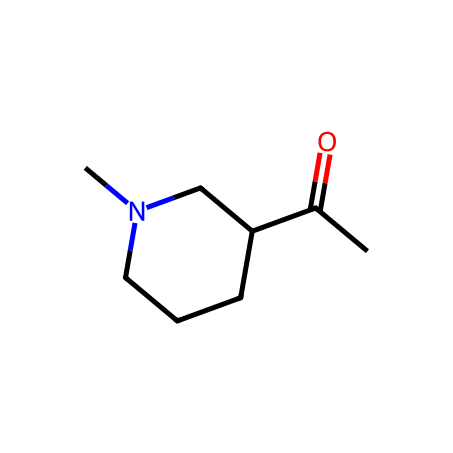 CC(=O)C1CCCN(C)C1